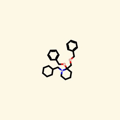 c1ccc(COCC2(OCc3ccccc3)CCCCN2CC2CCCCC2)cc1